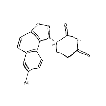 O=C1CC[C@H](c2noc3ccc4cc(O)ccc4c23)C(=O)N1